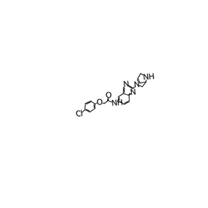 O=C(COc1ccc(Cl)cc1)Nc1ccc2nc(N3CC4CC3CN4)ncc2c1